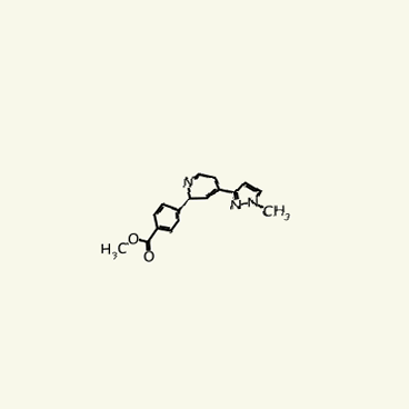 COC(=O)c1ccc([C@@H]2C=C(c3ccn(C)n3)CC=N2)cc1